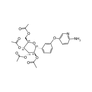 CC(=O)OC[C@H]1O[C@H](c2cccc(Oc3ccc(N)nc3)c2)[C@@H](OC(C)=O)[C@H](OC(C)=O)[C@@H]1OC(C)=O